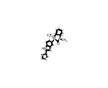 CN(C(=O)Nc1ccc2[nH]c(C3CSC=N3)nc2c1)c1ccccc1OC(F)(F)F